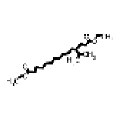 CCOC(=O)CCCCCCCCCCC(CCC(=O)OCC)C(C)C